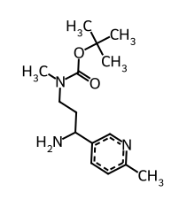 Cc1ccc(C(N)CCN(C)C(=O)OC(C)(C)C)cn1